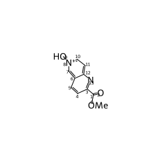 COC(=O)c1ccc2c[n+](O)ccc2n1